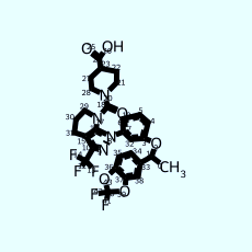 CC(Oc1cccc(-n2nc(C(F)(F)F)c3c2N(C(=O)N2CCC(C(=O)O)CC2)CCC3)c1)c1ccc2c(c1)OC(F)(F)O2